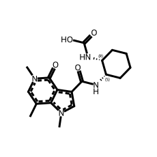 Cc1cn(C)c(=O)c2c(C(=O)N[C@H]3CCCC[C@H]3NC(=O)O)cn(C)c12